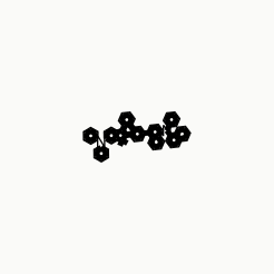 CC1(C)c2cc(N(c3ccccc3)c3ccccc3)ccc2-c2c1c1ccc(-c3ccc(N(c4ccccc4)c4cccc5ccccc45)c4ccccc34)cc1c1ccccc21